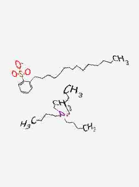 CCCCCCCCCCCCCc1ccccc1S(=O)(=O)[O-].CCCC[P+](CC)(CCCC)CCCC